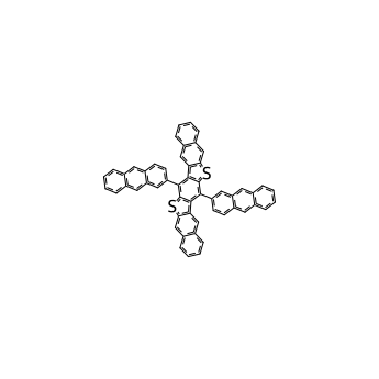 c1ccc2cc3cc(-c4c5sc6cc7ccccc7cc6c5c(-c5ccc6cc7ccccc7cc6c5)c5sc6cc7ccccc7cc6c45)ccc3cc2c1